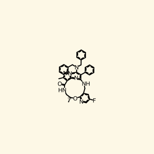 Cc1nn2c(N(Cc3ccccc3)Cc3ccccc3)c(-c3ccccc3)c3nc2c1C(=O)NC[C@H](C)Oc1ncc(F)cc1CN3